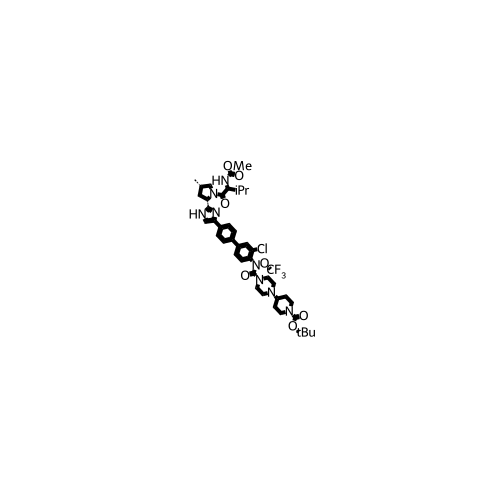 COC(=O)NC(C(=O)N1C[C@@H](C)C[C@H]1c1nc(-c2ccc(-c3ccc(N(OC(F)(F)F)C(=O)N4CCN(C5CCN(C(=O)OC(C)(C)C)CC5)CC4)c(Cl)c3)cc2)c[nH]1)C(C)C